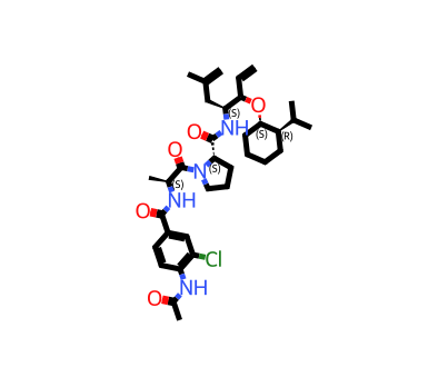 C=CC(O[C@H]1CCCC[C@@H]1C(C)C)[C@H](CC(=C)C)NC(=O)[C@@H]1CCCN1C(=O)[C@H](C)NC(=O)c1ccc(NC(C)=O)c(Cl)c1